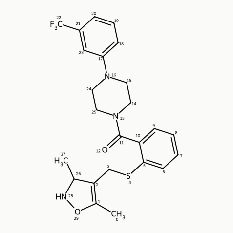 CC1=C(CSc2ccccc2C(=O)N2CCN(c3cccc(C(F)(F)F)c3)CC2)C(C)NO1